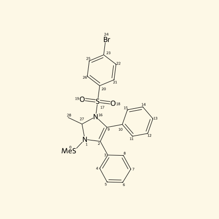 CSN1C(c2ccccc2)=C(c2ccccc2)N(S(=O)(=O)c2ccc(Br)cc2)C1C